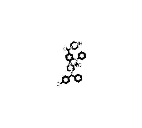 NC(=O)N(c1ccccc1)c1cc(C(=O)N2CCNCC2)ccc1N1CCN(C(c2ccccc2)c2ccc(Cl)cc2)CC1